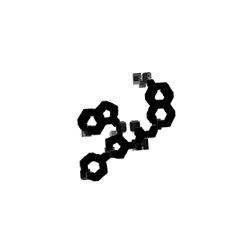 O=C(CN1CCc2ccc(C(F)(F)F)cc2C1)NC1CN(C2CCOCC2)C[C@@H]1OC1CCc2ccncc21